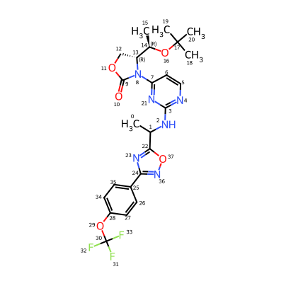 CC(Nc1nccc(N2C(=O)OC[C@@H]2[C@@H](C)OC(C)(C)C)n1)c1nc(-c2ccc(OC(F)(F)F)cc2)no1